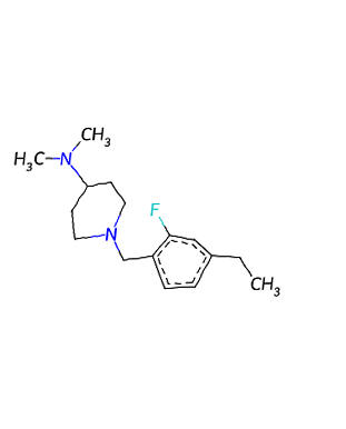 CCc1ccc(CN2CCC(N(C)C)CC2)c(F)c1